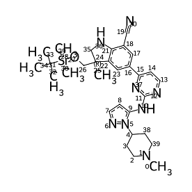 CN1CCC(n2nccc2Nc2nccc(-c3cc(C#N)c4c(c3)[C@@](C)(CO[Si](C)(C)C(C)(C)C)CN4)n2)CC1